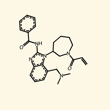 C=CC(=O)N1CCCCC(n2c(NC(=O)c3ccccc3)nc3cccc(CN(C)C)c32)C1